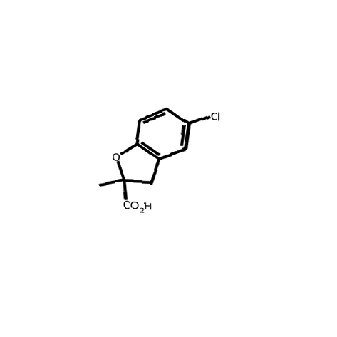 CC1(C(=O)O)Cc2cc(Cl)ccc2O1